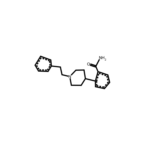 NC(=O)c1ccccc1C1CCN(CCc2ccccc2)CC1